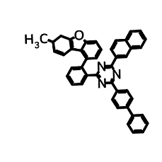 CC1C=Cc2c(oc3cccc(-c4ccccc4-c4nc(-c5ccc(-c6ccccc6)cc5)nc(-c5ccc6ccccc6c5)n4)c23)C1